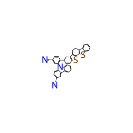 N#Cc1ccc(C2C=Cc3sc4c(c3C2)CCc2c-4sc3ccccc23)c(-n2c3ccccc3c3cc(C#N)ccc32)c1